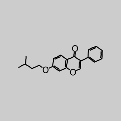 CC(C)CCOc1ccc2c(=O)c(-c3ccccc3)coc2c1